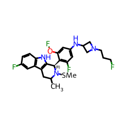 CSN1C(C)Cc2c([nH]c3ccc(F)cc23)[C@H]1c1c(F)cc(NC2CN(CCCF)C2)cc1OF